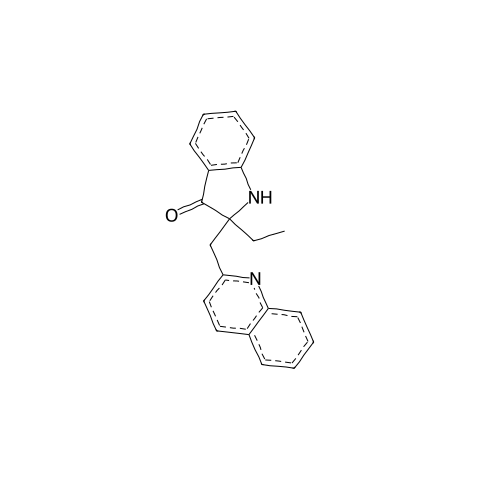 CCC1(Cc2ccc3ccccc3n2)Nc2ccccc2C1=O